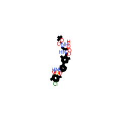 Cc1cc(S(=O)(=O)Nc2cccc(-c3cc(C)c(C(=O)NC(CNC(=O)OC(C)(C)C)C(=O)O)c(C)c3)c2)c(C)cc1Cl